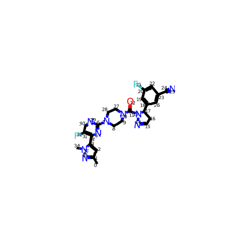 Cc1cc(-c2nc(N3CCN(C(=O)N4N=CCC4c4cc(F)cc(C#N)c4)CC3)ncc2F)n(C)n1